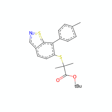 Cc1ccc(-c2c(SC(C)(C)C(=O)OC(C)(C)C)ccc3cnsc23)cc1